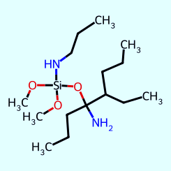 CCCN[Si](OC)(OC)OC(N)(CCC)C(CC)CCC